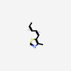 C/C=C\C=C/c1scnc1C